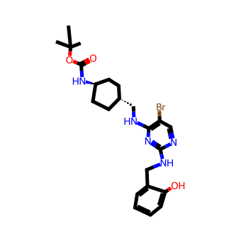 CC(C)(C)OC(=O)N[C@H]1CC[C@H](CNc2nc(NCc3ccccc3O)ncc2Br)CC1